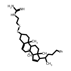 CC(C)CCCC(C)C1C=CC2C1(C)CCC1C3(C)CCC(SSCCNC(=N)N)CC3=CC[C@@]12C